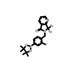 [2H]C1([2H])c2ncccc2C(=O)N1Cc1ccc(B2OC(C)(C)C(C)(C)O2)cc1F